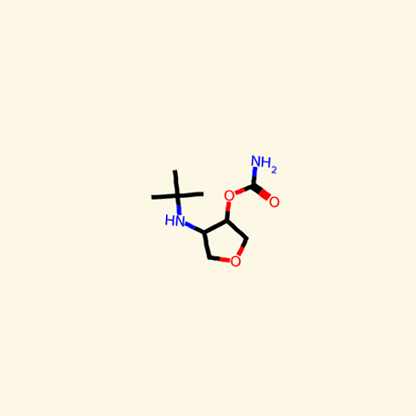 CC(C)(C)NC1COCC1OC(N)=O